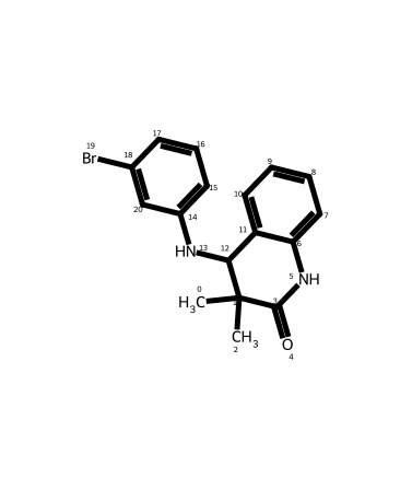 CC1(C)C(=O)Nc2ccccc2C1Nc1cccc(Br)c1